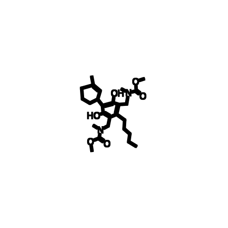 CCCCCc1c(CN(C)C(=O)OC)c(O)c(C2C=C(C)CCC2)c(O)c1CN(C)C(=O)OC